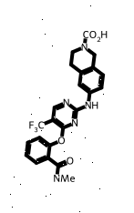 CNC(=O)c1ccccc1Oc1nc(Nc2ccc3c(c2)CCN(C(=O)O)C3)ncc1C(F)(F)F